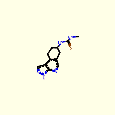 CNC(=S)NC1CCc2c(cnc3[nH]ncc23)C1